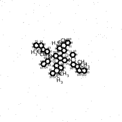 CC1(C)c2cc(N(c3ccccc3)c3ccc4c(-c5ccc6c7c(cccc57)C(C)(C)c5ccccc5-6)c5cc(N(c6ccc7c(c6)C(C)(C)c6c-7ccc7ccccc67)c6ccc7ccccc7c6)ccc5c(-c5ccc6c7c(cccc57)C(C)(C)c5ccccc5-6)c4c3)ccc2-c2ccc3ccccc3c21